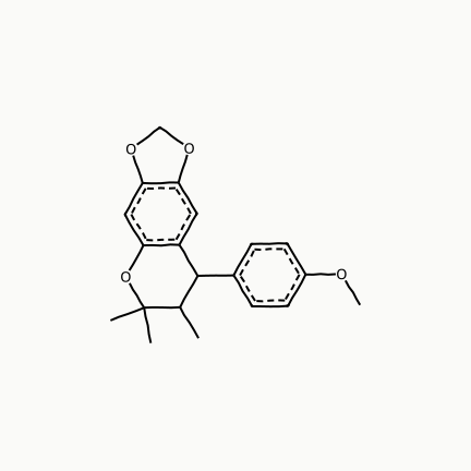 COc1ccc(C2c3cc4c(cc3OC(C)(C)C2C)OCO4)cc1